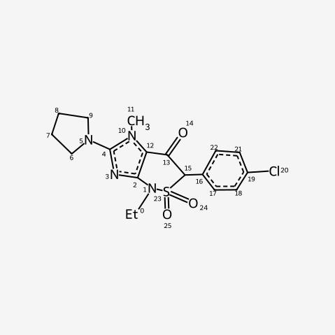 CCN1c2nc(N3CCCC3)n(C)c2C(=O)C(c2ccc(Cl)cc2)S1(=O)=O